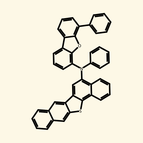 c1ccc(-c2cccc3c2oc2c(N(c4ccccc4)c4cc5c6cc7ccccc7cc6sc5c5ccccc45)cccc23)cc1